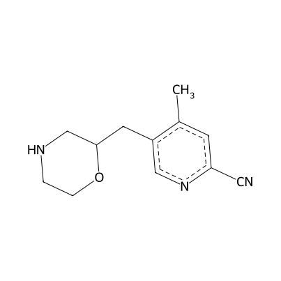 Cc1cc(C#N)ncc1CC1CNCCO1